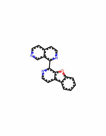 c1ccc2c(c1)oc1c(-c3nccc4ccncc34)nccc12